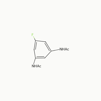 CC(=O)Nc1cc(F)cc(NC(C)=O)c1